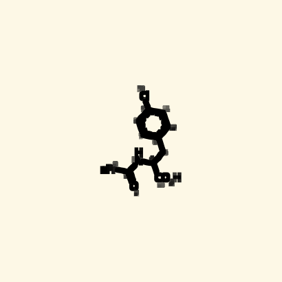 CCCC(=O)NC(Cc1ccc(Cl)cc1)C(=O)O